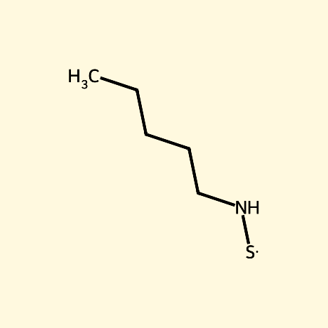 CCCCCN[S]